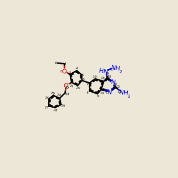 CCOc1ccc(-c2ccc3nc(N)nc(NN)c3c2)cc1OCc1ccccc1